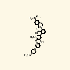 CCN1CCN(c2ccc(Nc3cc(-c4cccc(N5CCc6cc(N(C)C)ccc6C5=O)c4CO)cn(C)c3=O)nc2)CC1